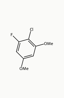 COc1cc(F)c(Cl)c(OC)c1